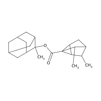 CC1C2CC3C1C3(C(=O)OC1(C)C3CC4CC(C3)CC1C4)C2C